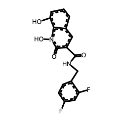 O=C(NCc1ccc(F)cc1F)c1cc2cccc(O)c2n(O)c1=O